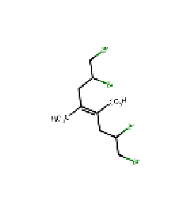 O=C(O)/C(CC(Br)CBr)=C(\CC(Br)CBr)C(=O)O